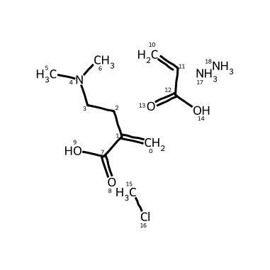 C=C(CCN(C)C)C(=O)O.C=CC(=O)O.CCl.N.N